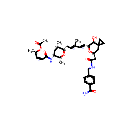 CC(=O)O[C@@H](C)/C=C\C(=O)N[C@@H]1C[C@H](C)[C@H](C/C=C(C)/C=C/[C@H]2O[C@H](CC(=O)NCc3ccc(C(N)=O)cc3)CC3(CC3)[C@@H]2O)O[C@@H]1C